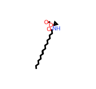 CCCCCCC=CCCCCCCCC(=O)NC1(OC=O)CC1